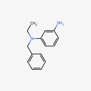 [CH2]CN(Cc1ccccc1)c1cccc(N)c1